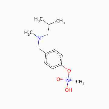 CC(C)CN(C)Cc1ccc(O[N+](C)([O-])O)cc1